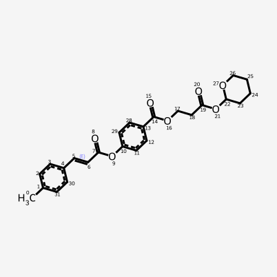 Cc1ccc(/C=C/C(=O)Oc2ccc(C(=O)OCCC(=O)OC3CCCCO3)cc2)cc1